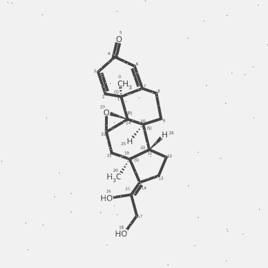 C[C@]12C=CC(=O)C=C1CC[C@H]1[C@@H]3CCC(=C(O)CO)[C@@]3(C)CC3O[C@]312